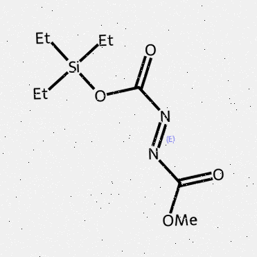 CC[Si](CC)(CC)OC(=O)/N=N/C(=O)OC